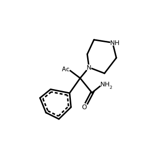 CC(=O)C(C(N)=O)(c1ccccc1)N1CCNCC1